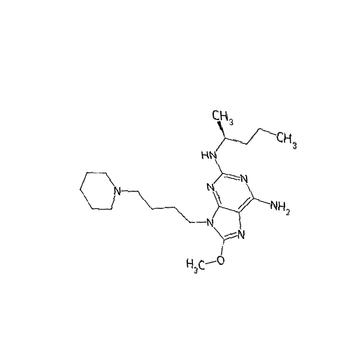 CCC[C@H](C)Nc1nc(N)c2nc(OC)n(CCCCN3CCCCC3)c2n1